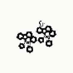 C1=CC[C]([Zr+]([CH]2c3ccccc3-c3ccccc32)[SiH](c2ccccc2)c2ccccc2)=C1.C1=CC[C]([Zr+]([CH]2c3ccccc3-c3ccccc32)[SiH](c2ccccc2)c2ccccc2)=C1.[Cl-].[Cl-]